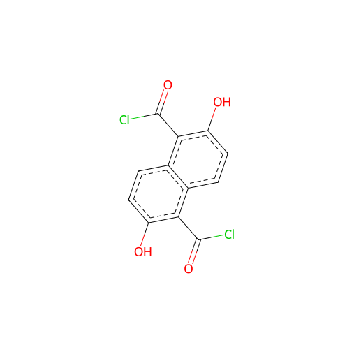 O=C(Cl)c1c(O)ccc2c(C(=O)Cl)c(O)ccc12